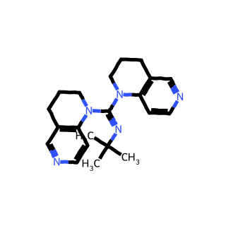 CC(C)(C)N=C(N1CCCc2cnccc21)N1CCCc2cnccc21